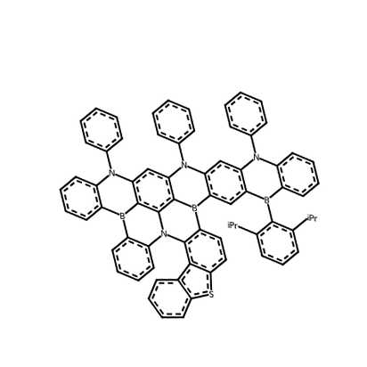 CC(C)c1cccc(C(C)C)c1B1c2ccccc2N(c2ccccc2)c2cc3c(cc21)B1c2ccc4sc5ccccc5c4c2N2c4ccccc4B4c5ccccc5N(c5ccccc5)c5cc(c1c2c54)N3c1ccccc1